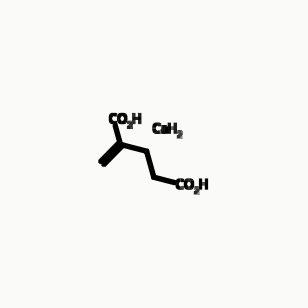 C=C(CCC(=O)O)C(=O)O.[CaH2]